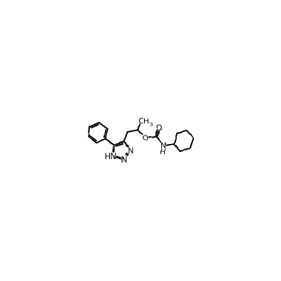 CC(Cc1nn[nH]c1-c1ccccc1)OC(=O)NC1CCCCC1